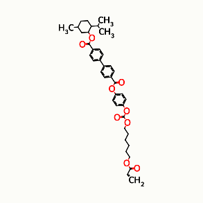 C=CC(=O)OCCCCCCOC(=O)Oc1ccc(OC(=O)c2ccc(-c3ccc(C(=O)OC4CC(C)CCC4C(C)C)cc3)cc2)cc1